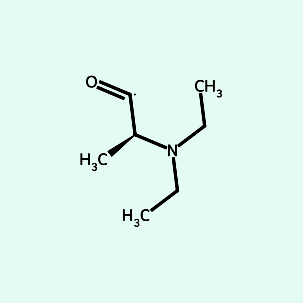 CCN(CC)[C@@H](C)[C]=O